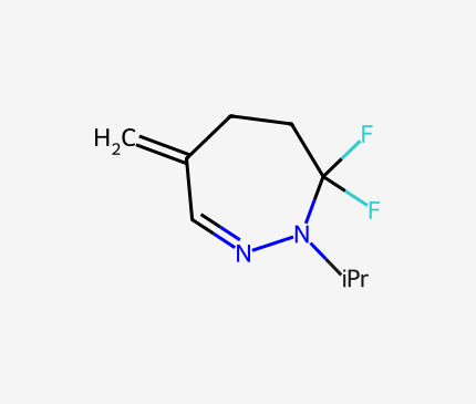 C=C1C=NN(C(C)C)C(F)(F)CC1